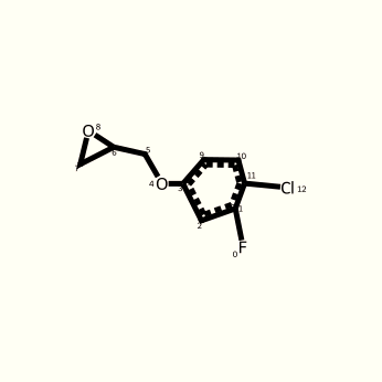 Fc1cc(OCC2CO2)ccc1Cl